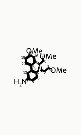 COCCN(CCOC)c1ccc(N)cc1-c1ccc(OC)cc1